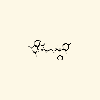 COc1ccnc(C(=O)N[C@@H](C)CO[C@@H](C)[C@@H](c2ccc(F)cc2C)C2CCCC2)c1OC(C)=O